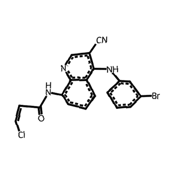 N#Cc1cnc2c(NC(=O)/C=C\Cl)cccc2c1Nc1cccc(Br)c1